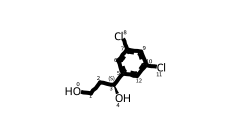 OCC[C@H](O)c1cc(Cl)cc(Cl)c1